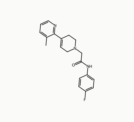 Cc1cccnc1C1=CCN(CC(=O)Nc2ccc(F)cc2)CC1